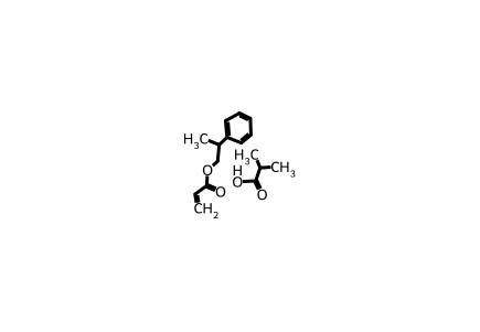 C=CC(=O)OCC(C)c1ccccc1.CC(C)C(=O)O